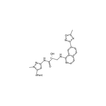 CCCCCc1cc(NC(=O)[C@H](O)CNc2nccc3ccc(-c4noc(C)n4)cc23)nn1C